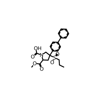 CCCS(=O)(=O)C1(c2ccc(-c3ccccc3)cc2)CC(C(=O)OC)N(C(=O)O)C1